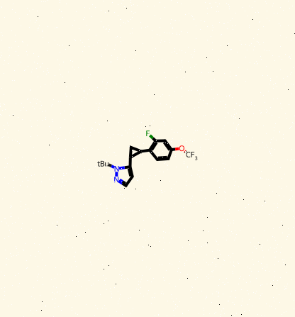 CC(C)(C)n1nccc1C1C[C]1c1ccc(OC(F)(F)F)cc1F